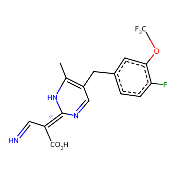 CC1=C(Cc2ccc(F)c(OC(F)(F)F)c2)C=N/C(=C(/C=N)C(=O)O)N1